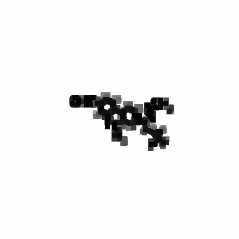 C=N/N=C(/CC1CC1(F)F)N1C=CC(c2ccc(C=O)cc2F)=C(C)C1